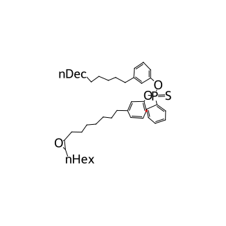 CCCCCCCCCCCCCCCc1cccc(OP(=S)(Oc2cccc(CCCCCCCC3OC3CCCCCC)c2)c2ccccc2)c1